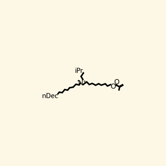 C=C(C)C(=O)OCCCCCCCCCC[N+](C)(CCCCCCCCCCCCCCCCCC)CCCC(C)C